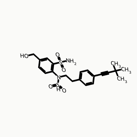 CC(C)(C)C#Cc1ccc(CCN(c2ccc(CO)cc2S(N)(=O)=O)[SH](=O)=O)cc1